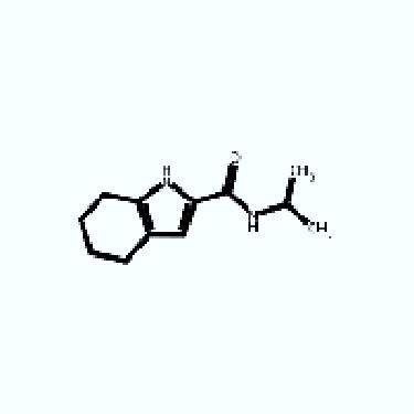 CC(C)NC(=O)c1cc2c([nH]1)CCCC2